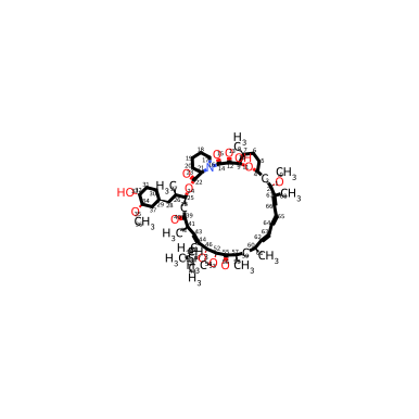 CO[C@H]1CC2CC[C@@H](C)[C@@](O)(O2)C(=O)C(=O)N2CCCCC2C(=O)O[C@H]([C@H](C)C[C@@H]2CC[C@@H](O)[C@H](OC)C2)CC(=O)[C@H](C)/C=C(\C)[C@@H](O[Si](C)(C)C)[C@@H](OC)C(=O)[C@H](C)C[C@H](C)/C=C/C=C/C=C/1C